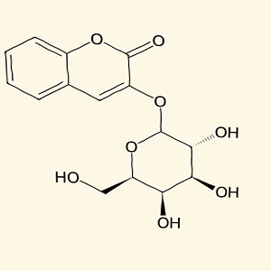 O=c1oc2ccccc2cc1OC1O[C@H](CO)[C@H](O)[C@H](O)[C@H]1O